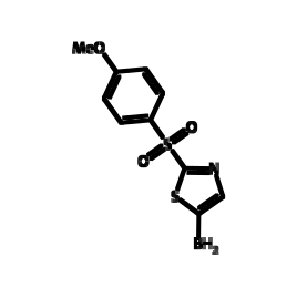 Bc1cnc(S(=O)(=O)c2ccc(OC)cc2)s1